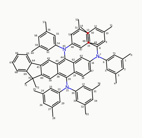 Cc1cc(C)cc(N(c2cc(C)cc(C)c2)c2ccc3c(N(c4cc(C)cc(C)c4)c4cc(C)cc(C)c4)c4cc5c(cc4c(N(c4cc(C)cc(C)c4)c4cc(C)cc(C)c4)c3c2)-c2ccccc2C5(C)C)c1